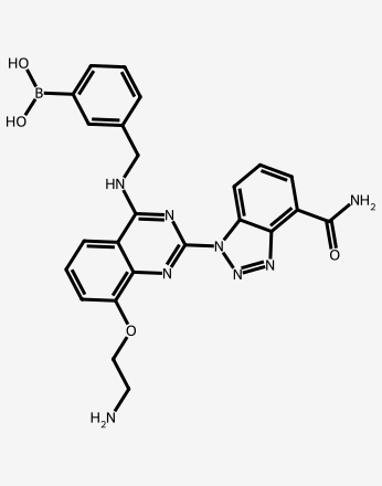 NCCOc1cccc2c(NCc3cccc(B(O)O)c3)nc(-n3nnc4c(C(N)=O)cccc43)nc12